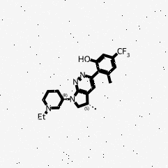 CCN1CCC[C@@H](N2C[C@@H](C)c3cc(-c4c(C)cc(C(F)(F)F)cc4O)nnc32)C1